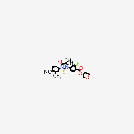 CC1(C)C(=O)N(c2ccc(C#N)c(C(F)(F)F)c2)C(=S)N1c1ccc(C(=O)O[C@H]2CCOC2)c(F)c1